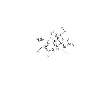 CCOC(C[SiH3])C(NC(OCC)(OCC)C(C[SiH3])OCC)(OCC)OCC